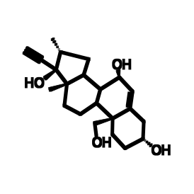 C#C[C@]1(O)[C@H](C)CC2C3C(CC[C@@]21C)[C@@]1(CO)CC[C@@H](O)CC1=C[C@@H]3O